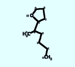 CCCCC(C)C1CC[CH]O1